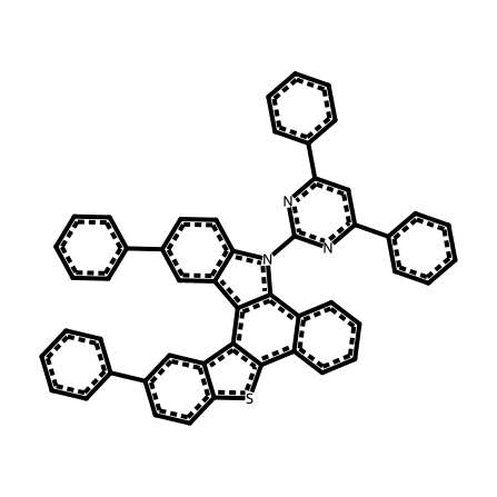 c1ccc(-c2ccc3sc4c5ccccc5c5c(c6cc(-c7ccccc7)ccc6n5-c5nc(-c6ccccc6)cc(-c6ccccc6)n5)c4c3c2)cc1